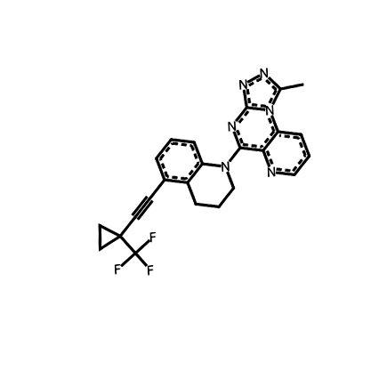 Cc1nnc2nc(N3CCCc4c(C#CC5(C(F)(F)F)CC5)cccc43)c3ncccc3n12